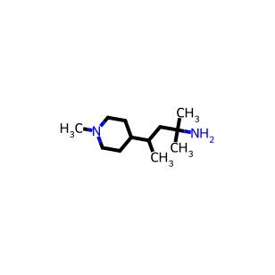 CC(CC(C)(C)N)C1CCN(C)CC1